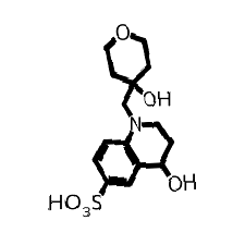 O=S(=O)(O)c1ccc2c(c1)C(O)CCN2CC1(O)CCOCC1